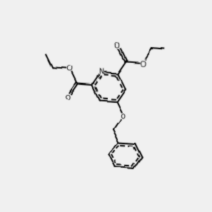 CCOC(=O)c1cc(OCc2ccccc2)cc(C(=O)OCC)n1